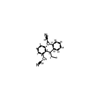 CCC(c1ccccc1OC#N)c1ccccc1OC#N